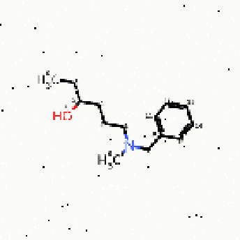 CCC(O)CCCN(C)Cc1ccccc1